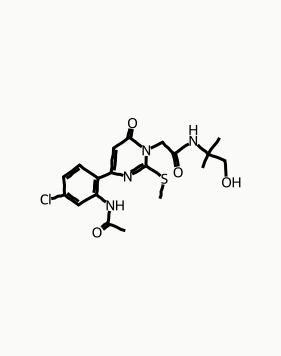 CSc1nc(-c2ccc(Cl)cc2NC(C)=O)cc(=O)n1CC(=O)NC(C)(C)CO